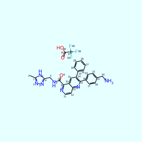 Cc1nnc(CNC(=O)c2nccc3nc(-c4ccc(CN)cc4)c(-c4ccccc4)cc23)[nH]1.O=C(O)C(F)(F)F